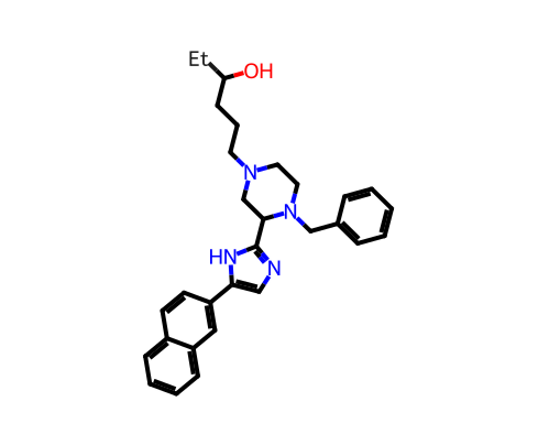 CCC(O)CCCN1CCN(Cc2ccccc2)C(c2ncc(-c3ccc4ccccc4c3)[nH]2)C1